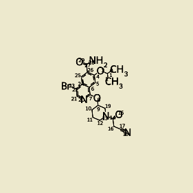 CC(C)Oc1cc2c(OC3CCCN(C(=O)CC#N)C3)ncc(Br)c2cc1C(N)=O